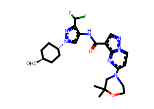 CC1(C)CN(c2ccn3ncc(C(=O)Nc4cn([C@H]5CC[C@H](C=O)CC5)nc4C(F)F)c3n2)CCO1